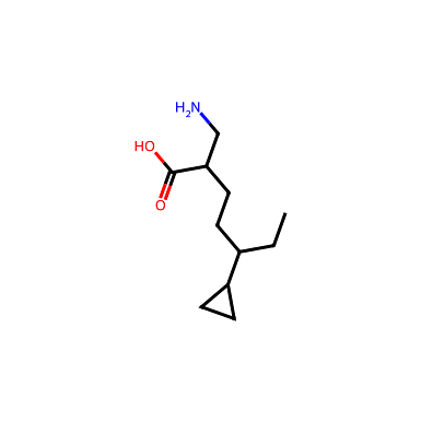 CCC(CCC(CN)C(=O)O)C1CC1